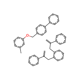 C=C(Cc1ccccc1CC(=C)c1ccccc1)c1ccccc1.Cc1cccc(OCc2ccc(-c3ccccc3)cc2)c1